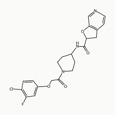 O=C(NC1CCN(C(=O)COc2ccc(Cl)c(F)c2)CC1)C1Cc2ccncc2O1